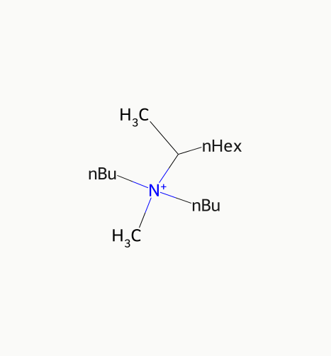 CCCCCCC(C)[N+](C)(CCCC)CCCC